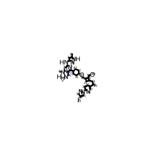 CNN1C=C(Nc2cc(C)[nH]n2)N=C(C2CCC(OCC3CC(C[C@@H](C)c4ccc(-n5cc(F)cn5)nc4)C3C=O)CC2)/C1=C/N